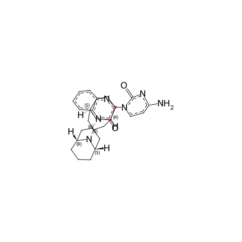 Nc1ccn(-c2nc3ccccc3n([C@H]3C[C@H]4CCC[C@@H](C3)N4[C@H]3C[C@@H]4CCC[C@@H](C4)C3)c2=O)c(=O)n1